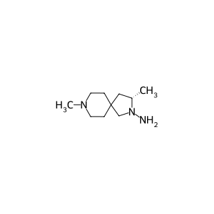 C[C@H]1CC2(CCN(C)CC2)CN1N